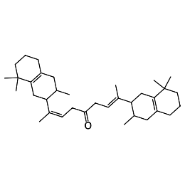 CC(=CCC(=O)CC=C(C)C1CC2=C(CCCC2(C)C)CC1C)C1CC2=C(CCCC2(C)C)CC1C